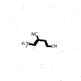 N#CC=CC(C#N)=CN